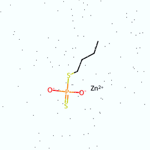 CCCCSP([O-])([O-])=S.[Zn+2]